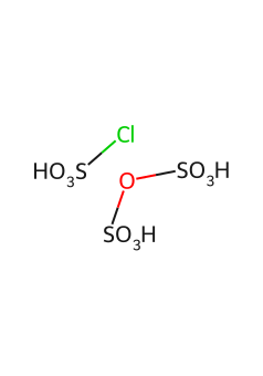 O=S(=O)(O)Cl.O=S(=O)(O)OS(=O)(=O)O